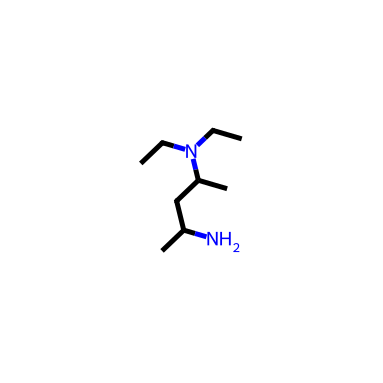 CCN(CC)C(C)CC(C)N